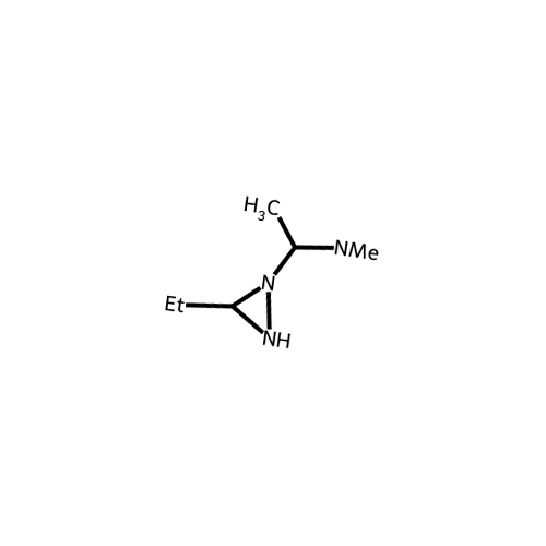 CCC1NN1C(C)NC